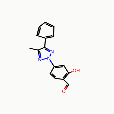 Cc1nn(-c2ccc(C=O)c(O)c2)nc1-c1ccccc1